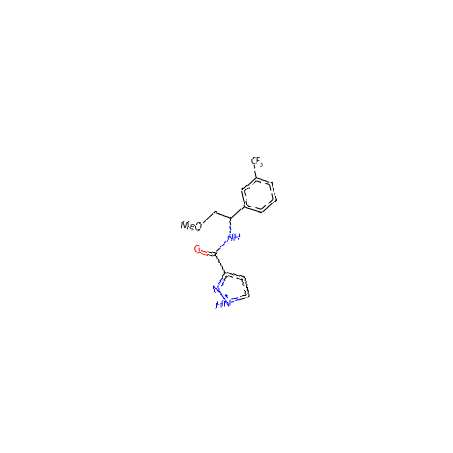 COCC(NC(=O)c1cc[nH]n1)c1cccc(C(F)(F)F)c1